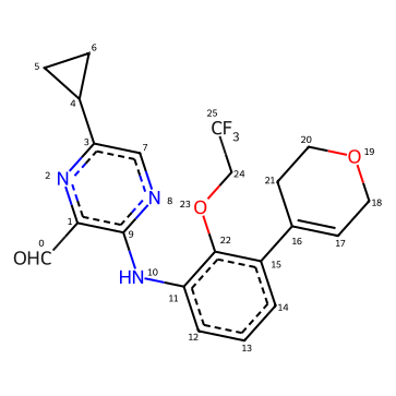 O=Cc1nc(C2CC2)cnc1Nc1cccc(C2=CCOCC2)c1OCC(F)(F)F